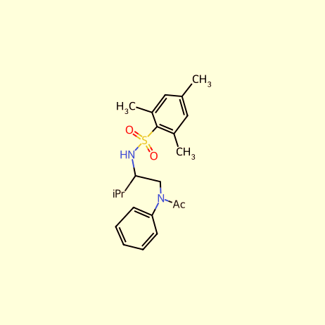 CC(=O)N(CC(NS(=O)(=O)c1c(C)cc(C)cc1C)C(C)C)c1ccccc1